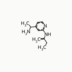 C=C(CC)Nc1cc(C(C)N)ccn1